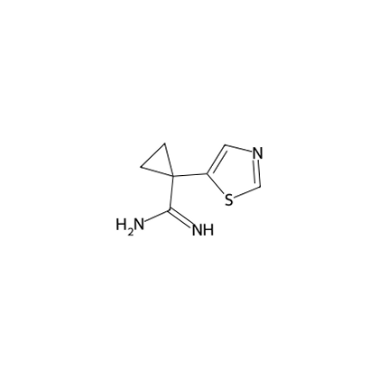 N=C(N)C1(c2cncs2)CC1